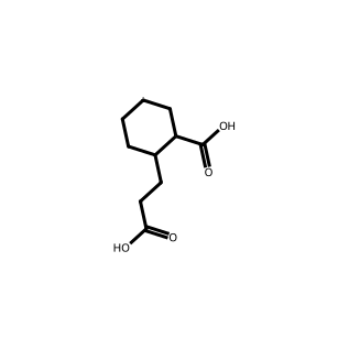 O=C(O)CCC1CC[CH]CC1C(=O)O